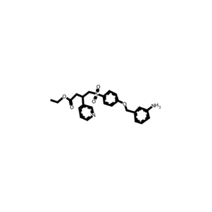 CCOC(=O)CC(CS(=O)(=O)c1ccc(OCc2cccc(N)c2)cc1)c1cccnc1